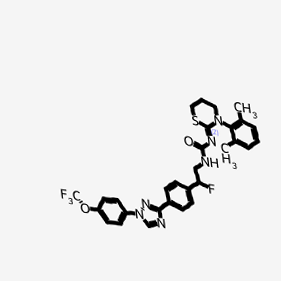 Cc1cccc(C)c1N1CCCS/C1=N\C(=O)NCC(F)c1ccc(-c2ncn(-c3ccc(OC(F)(F)F)cc3)n2)cc1